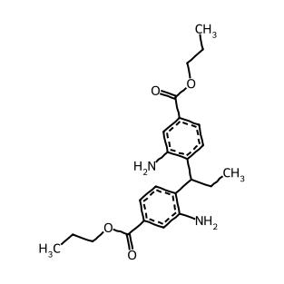 CCCOC(=O)c1ccc(C(CC)c2ccc(C(=O)OCCC)cc2N)c(N)c1